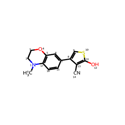 CN1CCOc2cc(-c3csc(O)c3C#N)ccc21